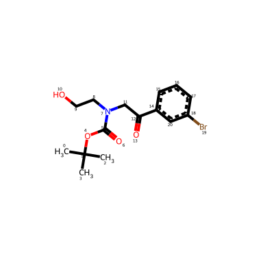 CC(C)(C)OC(=O)N(CCO)CC(=O)c1cccc(Br)c1